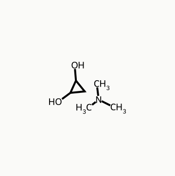 CN(C)C.OC1CC1O